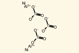 [Al+3].[Al+3].[Ni].[Ni].[O]=[Ti]([O-])[O-].[O]=[Ti]([O-])[O-].[O]=[Ti]([O-])[O-]